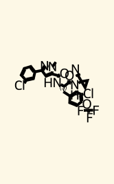 Cn1nc(-c2cccc(Cl)c2)cc1C(=O)N[C@@H](Cc1ccc(OC(F)(F)F)c(Cl)c1)C(=O)NC1(C#N)CC1